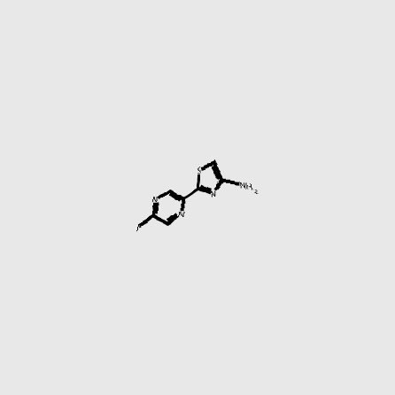 Nc1csc(-c2cnc(I)cn2)n1